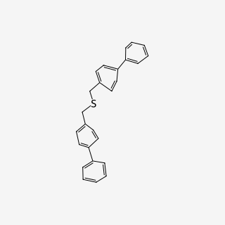 c1ccc(-c2ccc(CSCc3ccc(-c4ccccc4)cc3)cc2)cc1